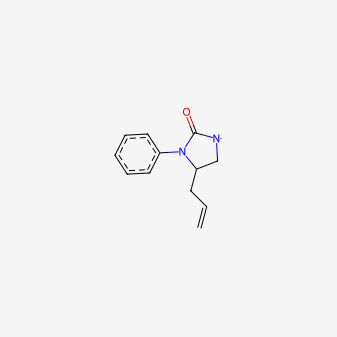 C=CCC1C[N]C(=O)N1c1ccccc1